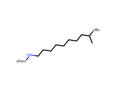 CCCCCNCCCCCCCCC(C)CCCC